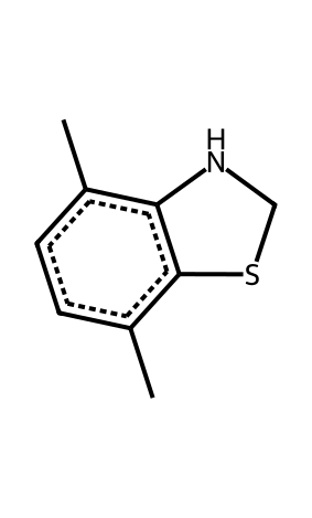 Cc1ccc(C)c2c1NCS2